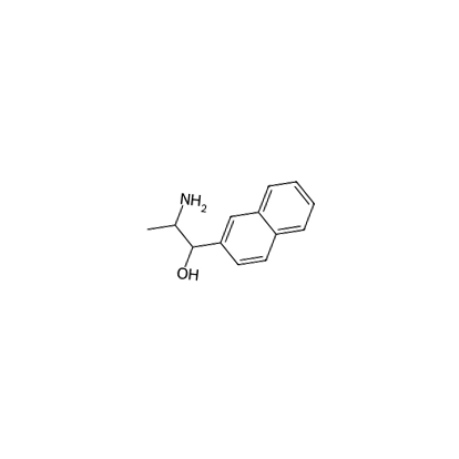 CC(N)C(O)c1ccc2ccccc2c1